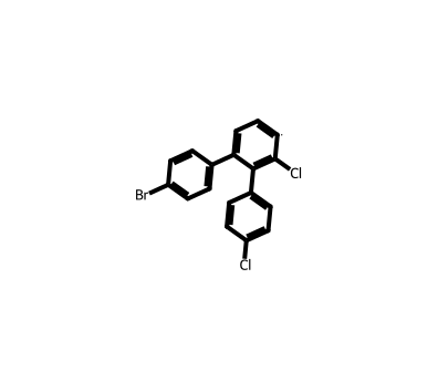 Clc1ccc(-c2c(Cl)[c]ccc2-c2ccc(Br)cc2)cc1